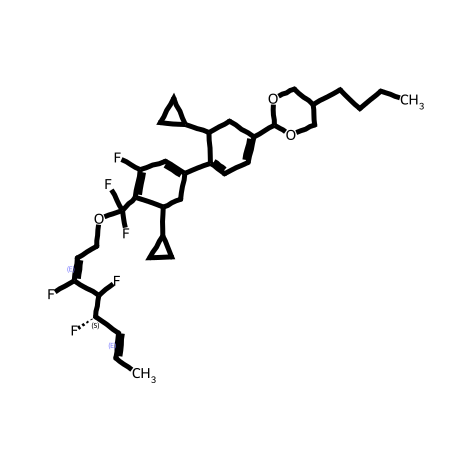 C/C=C/[C@H](F)C(F)/C(F)=C\COC(F)(F)C1=C(F)C=C(C2=CC=C(C3OCC(CCCC)CO3)CC2C2CC2)CC1C1CC1